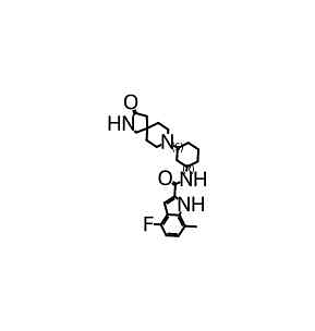 Cc1ccc(F)c2cc(C(=O)N[C@@H]3CCC[C@H](N4CCC5(CC4)CNC(=O)C5)C3)[nH]c12